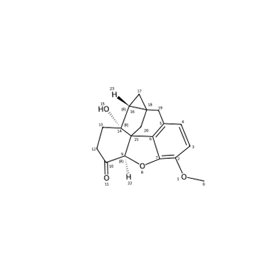 COc1ccc2c3c1O[C@H]1C(=O)CC[C@@]4(O)[C@@H]5CC5(C2)CC314